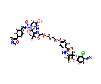 Cc1ncoc1-c1ccc(CNC(=O)[C@@H]2C[C@@H](O)CN2C(=O)[C@@H](NC(=O)COCCCCOc2ccc(C(=O)N[C@H]3C(C)(C)[C@H](Oc4ccc(C#N)c(Cl)c4)C3(C)C)cc2)C(C)(C)C)cc1